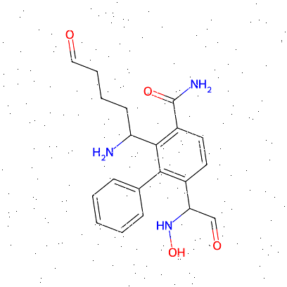 NC(=O)c1ccc(C(C=O)NO)c(-c2ccccc2)c1C(N)CCCC=O